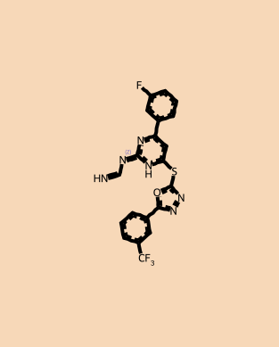 N=C/N=c1/nc(-c2cccc(F)c2)cc(Sc2nnc(-c3cccc(C(F)(F)F)c3)o2)[nH]1